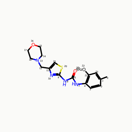 Cc1ccc(NC(=O)Nc2nc(CN3CCOCC3)cs2)c(OCC(C)C)c1